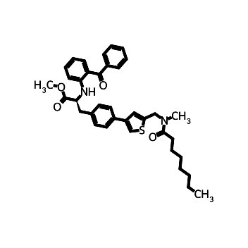 CCCCCCCC(=O)N(C)Cc1cc(-c2ccc(C[C@H](Nc3ccccc3C(=O)c3ccccc3)C(=O)OC)cc2)cs1